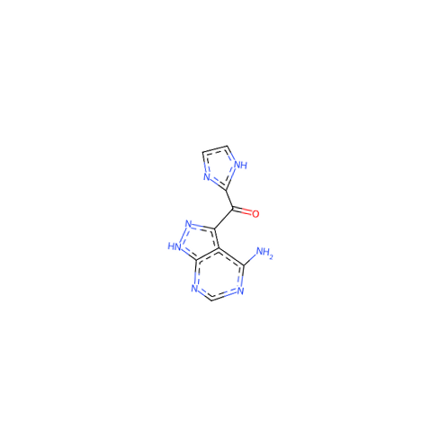 Nc1ncnc2[nH]nc(C(=O)c3ncc[nH]3)c12